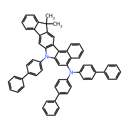 CC1(C)c2ccccc2-c2cc3c(cc21)c1c2ccccc2c(N(c2ccc(-c4ccccc4)cc2)c2ccc(-c4ccccc4)cc2)cc1n3-c1ccc(-c2ccccc2)cc1